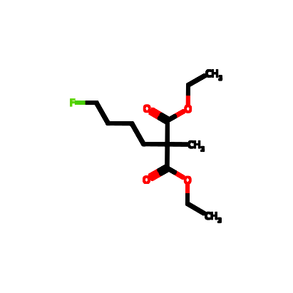 CCOC(=O)C(C)(CCCCF)C(=O)OCC